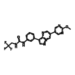 COc1ncc(-c2cnc3c(-c4cccc(NC(=O)NCC(F)(F)F)c4)cnn3c2)cn1